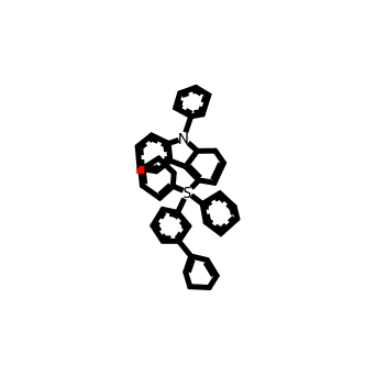 C1=CCCC(S(C2=C3c4ccccc4N(c4ccccc4)C3CC=C2)(c2ccccc2)c2cccc(C3=CCCC=C3)c2)=C1